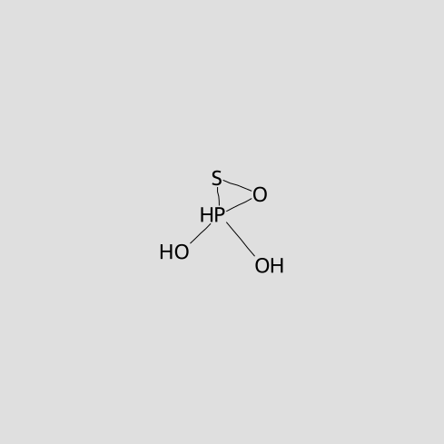 O[PH]1(O)OS1